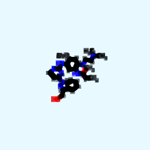 C=CC(=O)Nc1cc(Nc2nccc(-n3nc(CO)c4ccccc43)n2)c(OC)cc1N(C)CCN(C)C